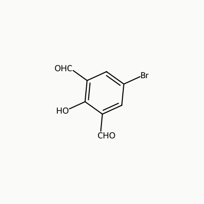 O=Cc1cc(Br)cc(C=O)c1O